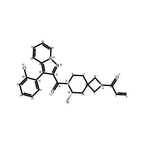 C=CC(=O)N1CC2(CCN(C(=O)c3nn4ccccc4c3-c3ccccc3Cl)[C@@H](C)C2)C1